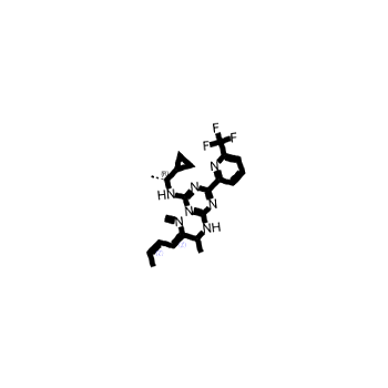 C=N/C(=C\C=C/C)C(C)Nc1nc(N[C@H](C)C2CC2)nc(-c2cccc(C(F)(F)F)n2)n1